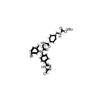 CC(C)(C)OC(=O)NC[C@H]1CC[C@H](C(=O)N[C@@H](Cc2ccc(Br)cc2)C(=O)Nc2ccc(-c3nnc(Cl)[nH]3)cc2)CC1